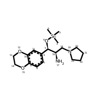 C[Si](C)(C)O[C@H](c1ccc2c(c1)OCCO2)[C@H](N)CN1CCCC1